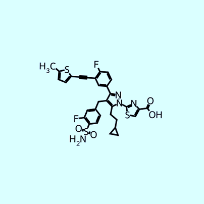 Cc1ccc(C#Cc2cc(-c3nn(-c4nc(C(=O)O)cs4)c(CCC4CC4)c3Cc3ccc(S(N)(=O)=O)c(F)c3)ccc2F)s1